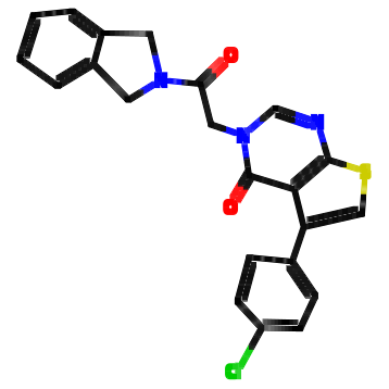 O=C(Cn1cnc2scc(-c3ccc(Cl)cc3)c2c1=O)N1Cc2ccccc2C1